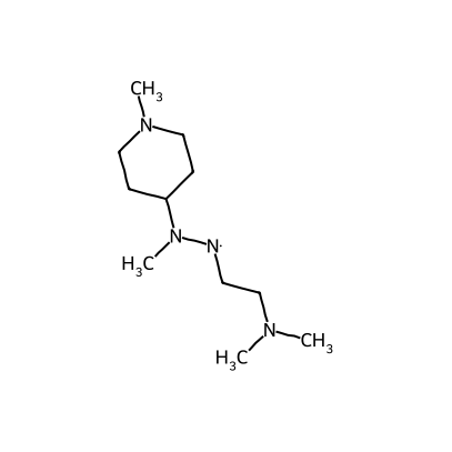 CN(C)CC[N]N(C)C1CCN(C)CC1